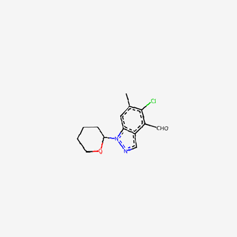 Cc1cc2c(cnn2C2CCCCO2)c(C=O)c1Cl